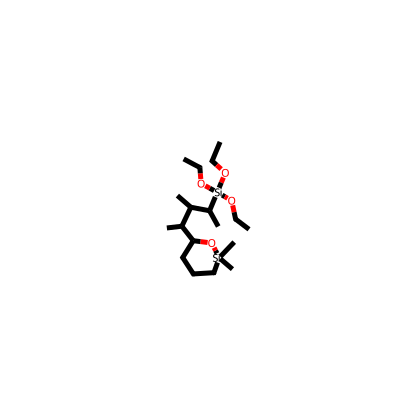 CCO[Si](OCC)(OCC)C(C)C(C)C(C)C1CCC[Si](C)(C)O1